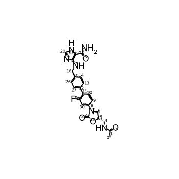 CC(=O)NC[C@H]1CN(c2ccc(-c3ccc(CNc4nc[nH]c4C(N)=O)cc3)c(F)c2)C(=O)O1